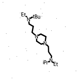 CCN(CCCN1CCN(CCCN(CC)C(C)(C)C)CC1)C(C)C